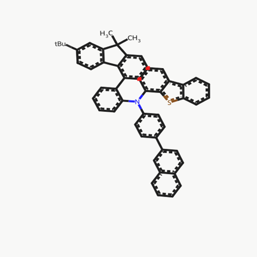 CC(C)(C)c1ccc2c(c1)C(C)(C)c1cccc(-c3ccccc3N(c3ccc(-c4ccc5ccccc5c4)cc3)c3cccc4c3sc3ccccc34)c1-2